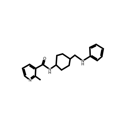 Cc1ncccc1C(=O)NC1CCC(CNc2ccccc2)CC1